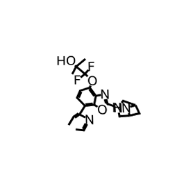 C/C=N\C(=C/C)c1ccc(OC(F)(F)C(C)(C)O)c2nc(N3CC4CC(C3)N4)oc12